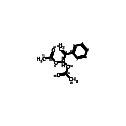 C=C(c1ccccc1)[SiH](OC(C)=O)OC(C)=O